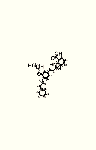 COc1cc(C=Cc2nc3cccc(C(=O)O)c3[nH]2)ccc1OCCN1CCCCC1.Cl.Cl